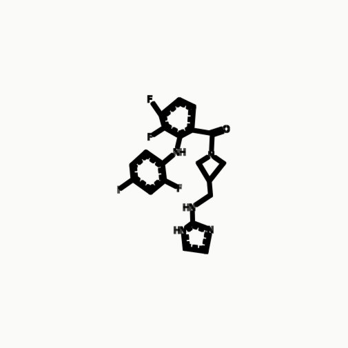 O=C(c1ccc(F)c(F)c1Nc1ccc(I)cc1F)N1CC(CNc2ncc[nH]2)C1